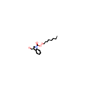 CCCCCCCCOOC(=O)n1cc(C=O)c2ccccc21